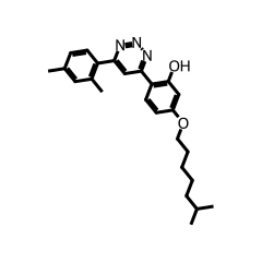 Cc1ccc(-c2cc(-c3ccc(OCCCCCC(C)C)cc3O)nnn2)c(C)c1